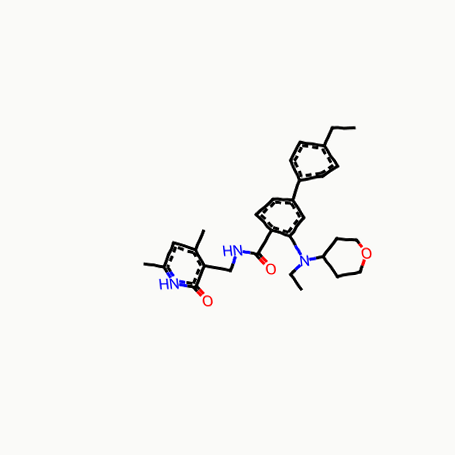 CCc1ccc(-c2ccc(C(=O)NCc3c(C)cc(C)[nH]c3=O)c(N(CC)C3CCOCC3)c2)cc1